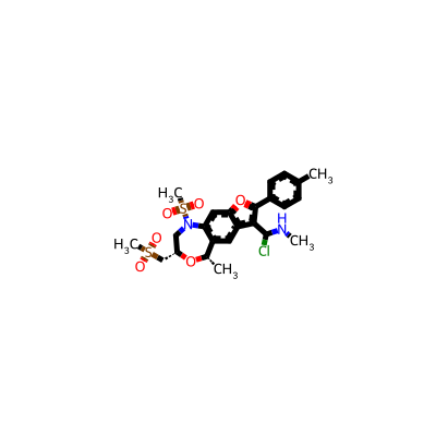 CNC(Cl)c1c(-c2ccc(C)cc2)oc2cc3c(cc12)[C@H](C)O[C@H](CS(C)(=O)=O)CN3S(C)(=O)=O